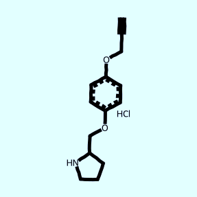 C#CCOc1ccc(OCC2CCCN2)cc1.Cl